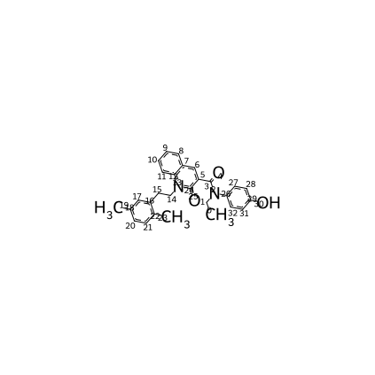 CCN(C(=O)c1cc2ccccc2n(CCc2cc(C)ccc2C)c1=O)c1ccc(O)cc1